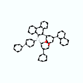 c1ccc(-c2ccc(N(c3cccc(-c4ccccc4)c3)c3c(-c4cccc(-c5cccc6ccccc56)c4)c4ccccc4c4ccccc34)cc2)cc1